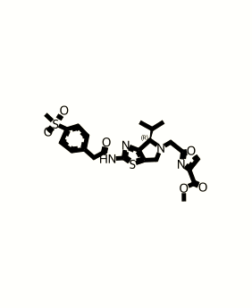 COC(=O)c1coc(CN2Cc3sc(NC(=O)Cc4ccc(S(C)(=O)=O)cc4)nc3[C@H]2C(C)C)n1